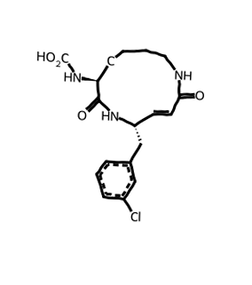 O=C(O)N[C@H]1CCCCNC(=O)/C=C/[C@H](Cc2cccc(Cl)c2)NC1=O